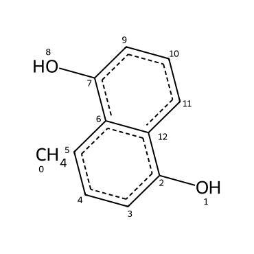 C.Oc1cccc2c(O)cccc12